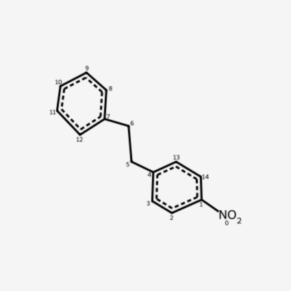 O=[N+]([O-])c1ccc(CCc2ccccc2)cc1